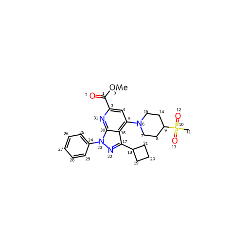 COC(=O)c1cc(N2CCC(S(C)(=O)=O)CC2)c2c(C3CCC3)nn(-c3ccccc3)c2n1